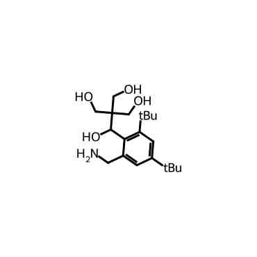 CC(C)(C)c1cc(CN)c(C(O)C(CO)(CO)CO)c(C(C)(C)C)c1